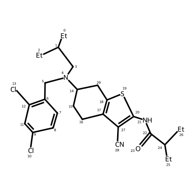 CCC(CC)CN(Cc1ccc(Cl)cc1Cl)C1CCc2c(sc(NC(=O)C(CC)CC)c2C#N)C1